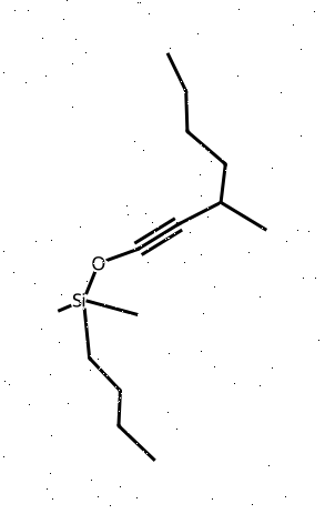 CCCCC(C)C#CO[Si](C)(C)CCCC